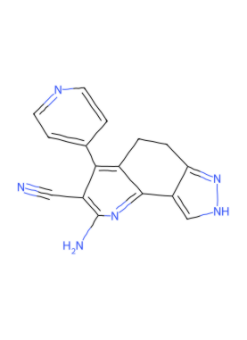 N#Cc1c(N)nc2c(c1-c1ccncc1)CCc1n[nH]cc1-2